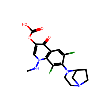 CNn1cc(OC(=O)O)c(=O)c2cc(F)c(N3CCN4CCC3C4)c(F)c21